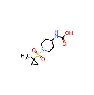 CC1(S(=O)(=O)N2CCC(NC(=O)O)CC2)CC1